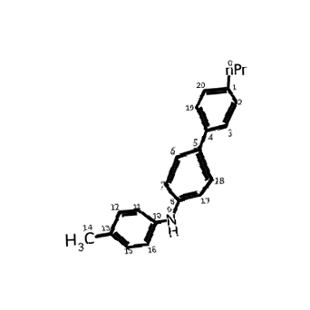 CCCc1ccc(-c2ccc(Nc3ccc(C)cc3)cc2)cc1